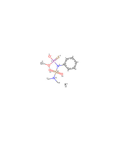 CCOP([O-])(=S)N(c1ccccc1)S(=O)(=O)N(C)C.[K+]